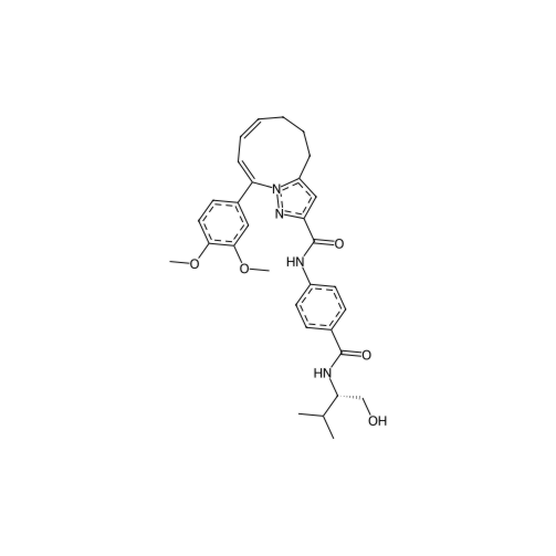 COc1ccc(/C2=C/C=C\CCCc3cc(C(=O)Nc4ccc(C(=O)N[C@H](CO)C(C)C)cc4)nn32)cc1OC